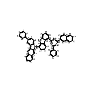 c1ccc(-c2ccc3c(c2)c2cc4ccccc4cc2n3-c2cccc3c2oc2cccc(-c4nc(-c5ccccc5)nc(-c5ccc6ccccc6c5)n4)c23)cc1